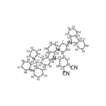 N#Cc1cc(-c2cccc(-n3c4ccccc4c4ccccc43)c2)c(-n2c3ccccc3c3c4c(ccc32)C(c2ccccc2)(c2ccccc2)c2ccccc2-4)cc1C#N